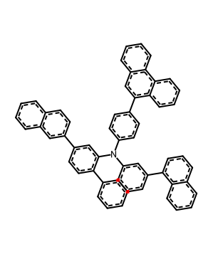 c1ccc(-c2ccc(-c3ccc4ccccc4c3)cc2N(c2ccc(-c3cc4ccccc4c4ccccc34)cc2)c2cccc(-c3cccc4ccccc34)c2)cc1